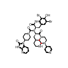 NC(=O)[C@@H](Cc1cc(Br)c(O)c(Br)c1)N(C(=O)N1CCC(n2c(=O)[nH]c3ncccc32)CC1)[C@H](CC1CCNCC1)C(=O)N1CCN(c2ccncc2)CC1